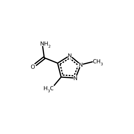 Cc1nn(C)nc1C(N)=O